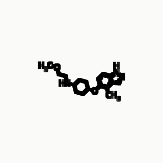 COCCN[C@H]1CC[C@@H](Oc2ccc3[nH]ncc3c2C)CC1